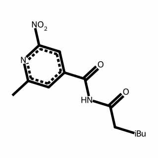 CCC(C)CC(=O)NC(=O)c1cc(C)nc([N+](=O)[O-])c1